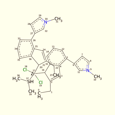 CCC1=Cc2c(-c3ccn(C)c3)cccc2[CH]1[Zr]([Cl])([Cl])([CH]1C(CC)=Cc2c(-c3ccn(C)c3)cccc21)[SiH](C)C